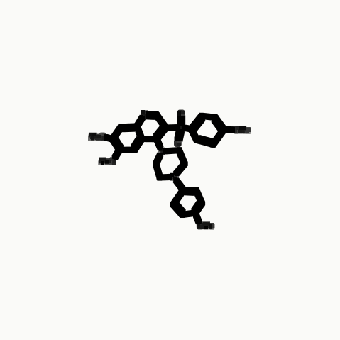 COc1ccc(N2CCN(c3c(S(=O)(=O)c4ccc(OC)cc4)cnc4cc(OC)c(OC)cc34)CC2)cc1